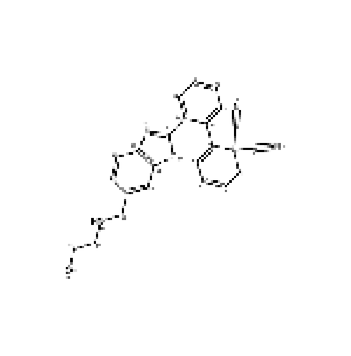 N#CC1(C#N)CC=CC=C1c1ccccc1-c1nc2ccc(CNCCO)cc2o1